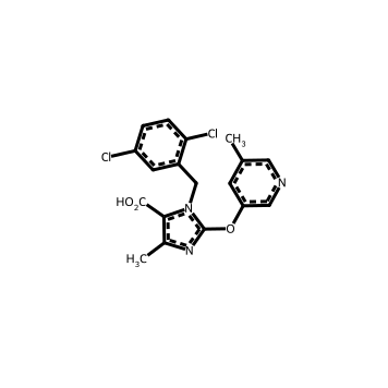 Cc1cncc(Oc2nc(C)c(C(=O)O)n2Cc2cc(Cl)ccc2Cl)c1